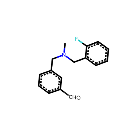 CN(Cc1cccc(C=O)c1)Cc1ccccc1F